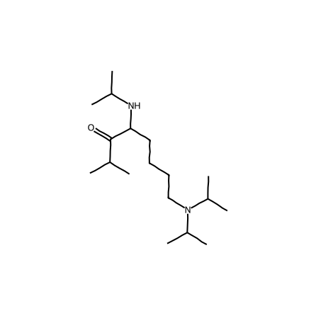 CC(C)NC(CCCCN(C(C)C)C(C)C)C(=O)C(C)C